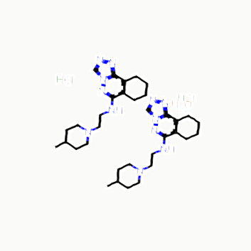 CC1CCN(CCNc2nn3cnnc3c3c2CCCC3)CC1.CC1CCN(CCNc2nn3cnnc3c3c2CCCC3)CC1.Cl.Cl.O